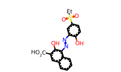 CCS(=O)(=O)c1ccc(O)c(N=Nc2c(O)c(C(=O)O)cc3ccccc23)c1